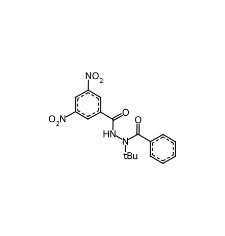 CC(C)(C)N(NC(=O)c1cc([N+](=O)[O-])cc([N+](=O)[O-])c1)C(=O)c1ccccc1